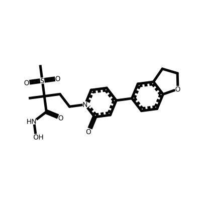 CC(CCn1ccc(-c2ccc3c(c2)CCO3)cc1=O)(C(=O)NO)S(C)(=O)=O